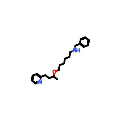 CC(CCc1ccccn1)OCCCCCCNCc1ccccc1